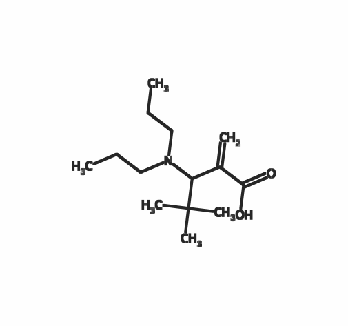 C=C(C(=O)O)C(N(CCC)CCC)C(C)(C)C